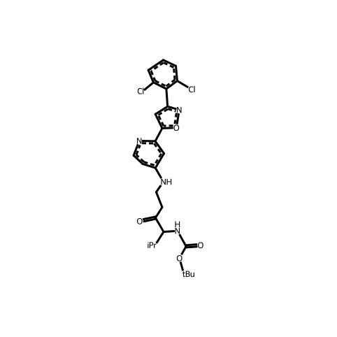 CC(C)C(NC(=O)OC(C)(C)C)C(=O)CCNc1ccnc(-c2cc(-c3c(Cl)cccc3Cl)no2)c1